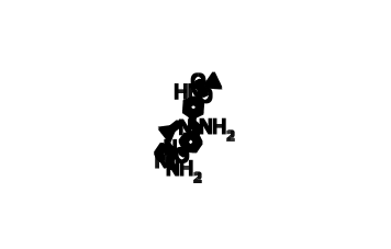 Nc1nccnc1Oc1ccc2c(N)c(-c3ccc(NS(=O)(=O)C4CC4)cc3)n(CC3CC3)c2c1